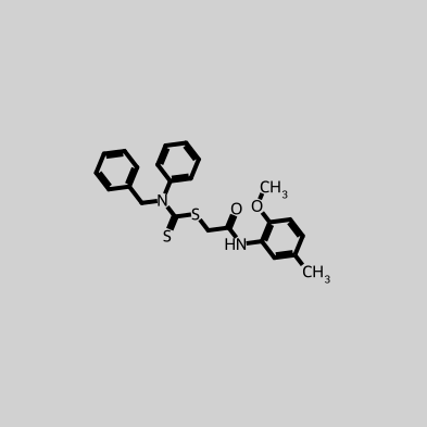 COc1ccc(C)cc1NC(=O)CSC(=S)N(Cc1ccccc1)c1ccccc1